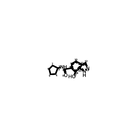 O=C(NC1CCCC1)c1ccc2cn[nH]c2c1O